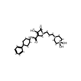 O=C(NC1CCC(c2ccccc2)CC1)C1=C(O)C(=O)N(CCCN2CCS(O)(O)CC2)C1